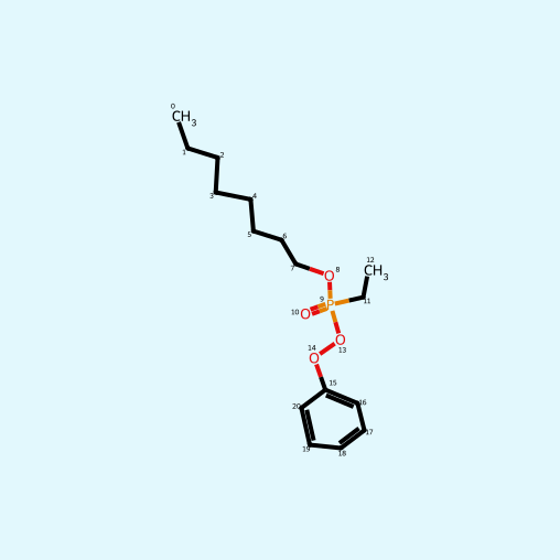 CCCCCCCCOP(=O)(CC)OOc1ccccc1